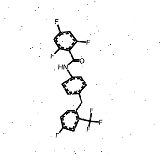 O=C(Nc1ccc(Cc2ccc(F)cc2C(F)(F)F)cc1)c1c(F)cc(F)cc1F